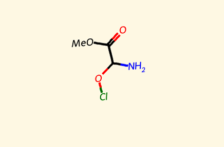 COC(=O)C(N)OCl